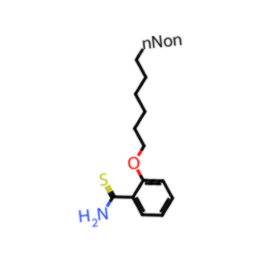 CCCCCCCCCCCCCCCOc1ccccc1C(N)=S